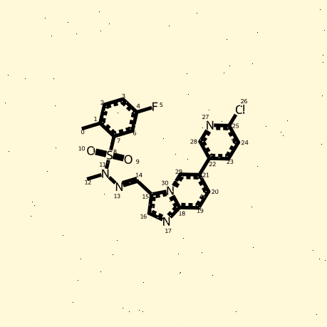 Cc1ccc(F)cc1S(=O)(=O)N(C)N=Cc1cnc2ccc(-c3ccc(Cl)nc3)cn12